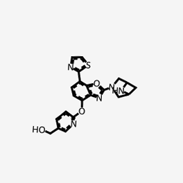 OCc1ccc(Oc2ccc(-c3nccs3)c3oc(N4CC5CC(C4)N5)nc23)nc1